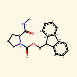 CNC(=O)C1CCCN1C(=O)OCC1c2ccccc2-c2ccccc21